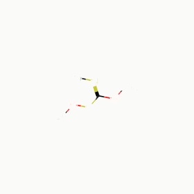 CCCCOC(SOCC)=[SH]CCCC